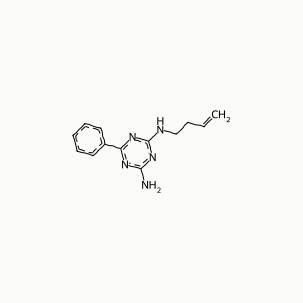 C=CCCNc1nc(N)nc(-c2ccccc2)n1